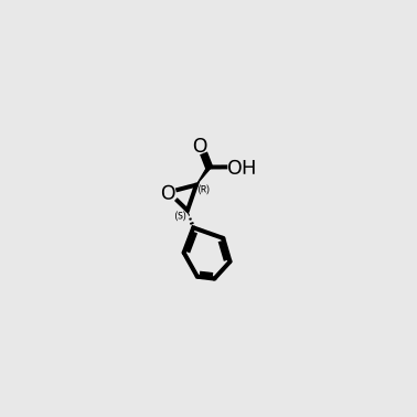 O=C(O)[C@@H]1O[C@H]1c1ccccc1